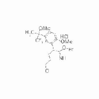 CCOC(=N)C(CCCCl)c1cc(C(C)(OC)C(F)(F)F)ccc1OC.Cl